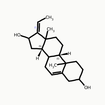 C/C=C1/C(O)C[C@H]2C3CC=C4CC(O)CCC4(C)[C@H]3CCC12C